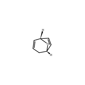 C1=C[C@@H]2C=C[C@H](C1)O2